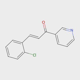 O=C(C=Cc1ccccc1Cl)c1cccnc1